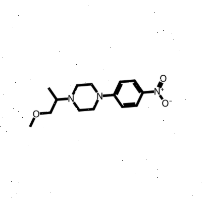 COCC(C)N1CCN(c2ccc([N+](=O)[O-])cc2)CC1